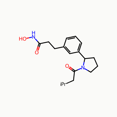 CC(C)CC(=O)N1CCCC1c1cccc(CCC(=O)NO)c1